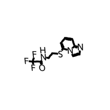 O=C(NCCSc1cccc2nccn12)C(F)(F)F